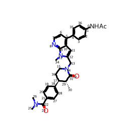 CC(=O)Nc1ccc(-c2ccnc3c2cc(CN2CC[C@H](c4ccc(C(=O)N(C)C)cc4)[C@@H](C)C2=O)n3C)cc1